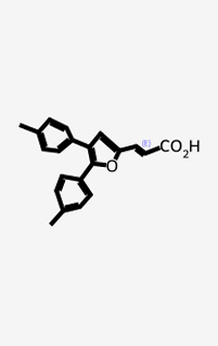 Cc1ccc(-c2cc(/C=C/C(=O)O)oc2-c2ccc(C)cc2)cc1